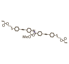 C=CC(=O)OCCSc1ccc(C#Cc2ccc(/N=N/c3ccc(C#Cc4ccc(SCCOC(=O)C=C)cc4)cc3C(=O)OC)cc2)cc1